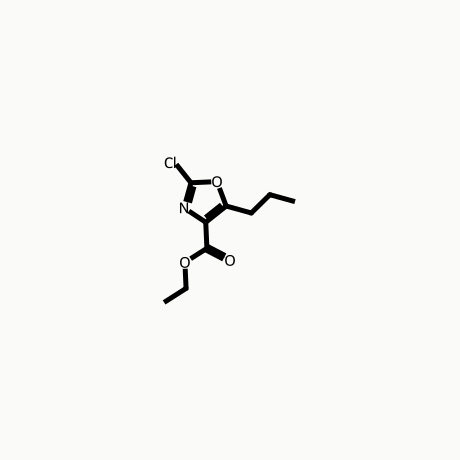 CCCc1oc(Cl)nc1C(=O)OCC